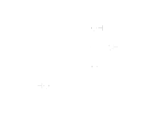 OC1CCC(O)(S)OC1